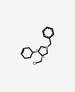 ClC[C@@H]1CN(Cc2ccccc2)C[C@@H]1C1CC=CCC1